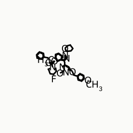 COc1ccc(COc2cc(-c3nn(C4CCCCO4)c4ccc(C)cc34)nc(O[C@H]3CN(C(=O)OCc4ccccc4)CC[C@@H]3F)n2)cc1